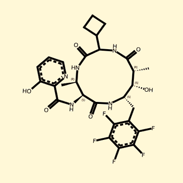 C[C@H]1NC(=O)C(C2CCC2)NC(=O)[C@H](C)[C@H](O)[C@H](Cc2c(F)c(F)c(F)c(F)c2F)NC(=O)[C@H]1NC(=O)c1ncccc1O